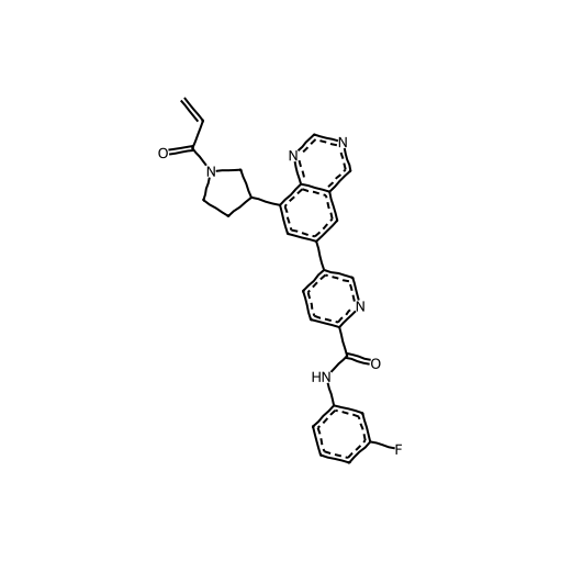 C=CC(=O)N1CCC(c2cc(-c3ccc(C(=O)Nc4cccc(F)c4)nc3)cc3cncnc23)C1